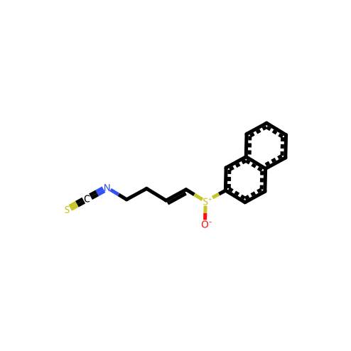 [O-][S+](/C=C/CCN=C=S)c1ccc2ccccc2c1